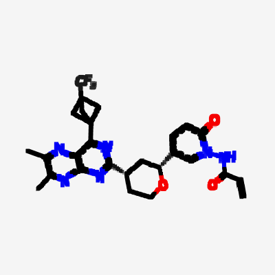 C=CC(=O)Nn1cc([C@H]2C[C@@H](c3nc(C45CC(C(F)(F)F)(C4)C5)c4nc(C)c(C)nc4n3)CCO2)ccc1=O